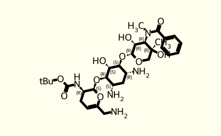 CN(C(=O)c1ccccc1)[C@@H]1[C@@H](O)[C@@H](O[C@@H]2[C@@H](O)[C@H](O[C@H]3OC(CN)=CC[C@H]3NC(=O)OC(C)(C)C)[C@@H](N)C[C@H]2N)OC[C@]1(C)O